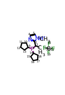 CC(C1=NC=C[NH+]1C)P(C1CCCC1)C1CCCC1.F[B-](F)(F)F